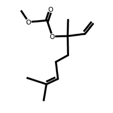 C=CC(C)(CCC=C(C)C)OC(=O)OC